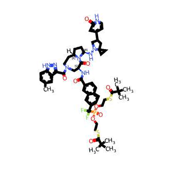 Cc1ccc2[nH]nc(C(=O)N3CC[C@H]4CC[C@@H](NN5CC(c6cc[nH]c(=O)c6)CC56CC6)N4C(=O)[C@@H](NC(=O)c4ccc5ccc(C(F)(F)P(=O)(OCCSC(=O)C(C)(C)C)OCCSC(=O)C(C)(C)C)cc5c4)C3)c2c1